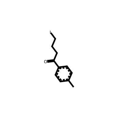 Cc1ccc(C(=O)CCCI)cc1